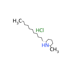 CCCCCCCCCCC[C@@H]1CCC[C@@H](C)N1.Cl